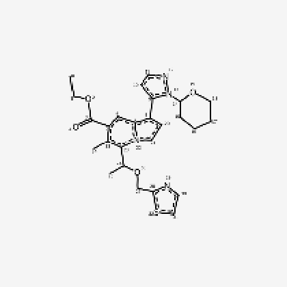 CCOC(=O)c1cc2c(-c3ccnn3C3CCCCO3)ccn2c(C(C)OCc2nccs2)c1C